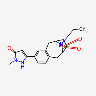 Cn1[nH]c(-c2ccc3c(c2)CC2CCC(C3)C23CN(CC(F)(F)F)S(=O)(=O)N3)cc1=O